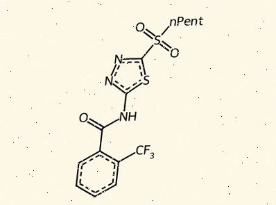 CCCCCS(=O)(=O)c1nnc(NC(=O)c2ccccc2C(F)(F)F)s1